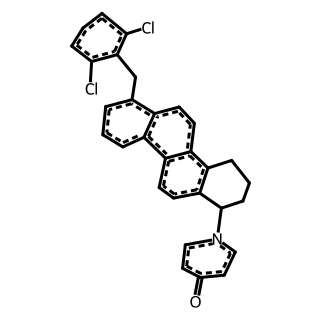 O=c1ccn(C2CCCc3c2ccc2c3ccc3c(Cc4c(Cl)cccc4Cl)cccc32)cc1